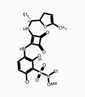 CC[C@@H](Nc1c(Nc2ccc(Cl)c(S(=O)(=O)N(CC)OC)c2O)c(=O)c1=O)C1CC=C(C)O1